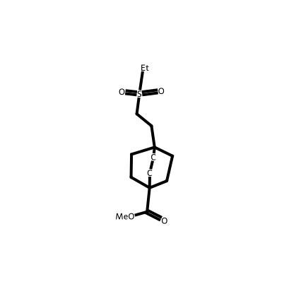 CCS(=O)(=O)CCC12CCC(C(=O)OC)(CC1)CC2